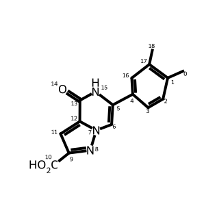 Cc1ccc(-c2cn3nc(C(=O)O)cc3c(=O)[nH]2)cc1C